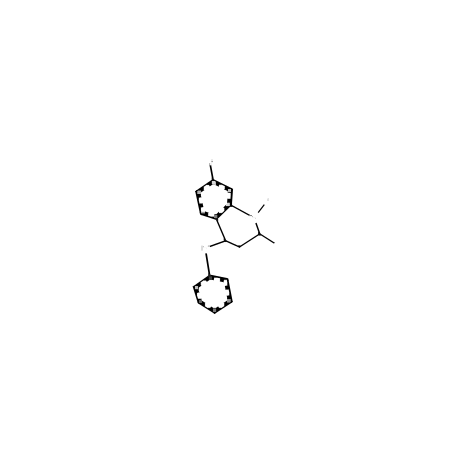 CC(=O)N1c2cc(Br)ccc2C(Nc2ccccc2)CC1C